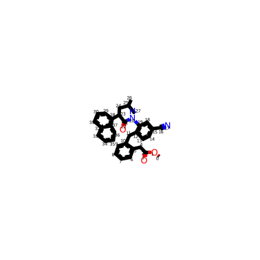 COC(=O)Cc1ccccc1Cc1ccc(C#N)cc1NC(=O)C(CC(C)C)c1cccc2ccccc12